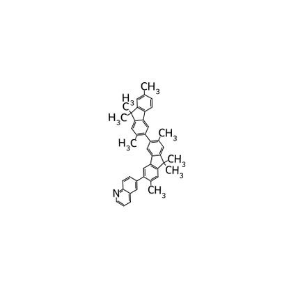 Cc1ccc2c(c1)C(C)(C)c1cc(C)c(-c3cc4c(cc3C)C(C)(C)c3cc(C)c(-c5ccc6ncccc6c5)cc3-4)cc1-2